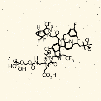 CC(C)(CCc1ccc(-c2ccc(Cl)c3c(N(C(=O)N(CCNC(=O)OCOP(=O)(O)O)CCC(=O)O)S(C)(=O)=O)nn(CC(F)(F)F)c23)c([C@H](Cc2cc(F)cc(F)c2)NC(=O)Cn2nc(C(F)(F)F)c3c2C(F)(F)C2C[C@H]32)n1)S(C)(=O)=O